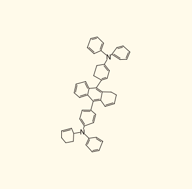 C1=CC(N(c2ccccc2)c2ccc(-c3c4c(c(C5=CC=C(N(c6ccccc6)c6ccccc6)CC5)c5ccccc35)CCC=C4)cc2)CCC1